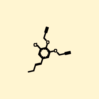 C#CCOc1cc(C=CCC)cc(Cl)c1OCC#C